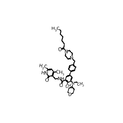 CCCCCCC(=O)N1CCN(Cc2ccc(-c3cc(C(=O)NCc4c(C)cc(C)[nH]c4=O)c(C)c(N(CC)C4CCOCC4)c3)cc2)CC1